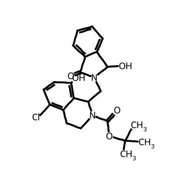 CC(C)(C)OC(=O)N1CCc2c(Cl)ccc(O)c2C1CN1C(=O)c2ccccc2C1O